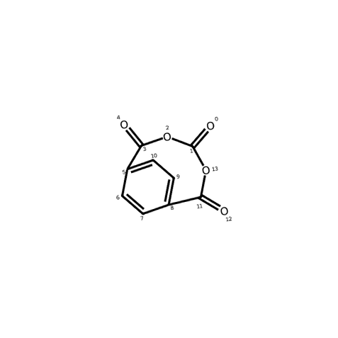 O=C1OC(=O)c2ccc(cc2)C(=O)O1